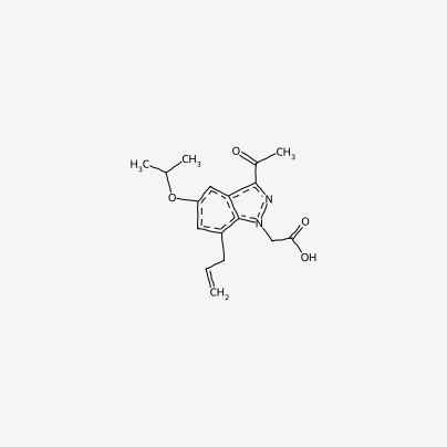 C=CCc1cc(OC(C)C)cc2c(C(C)=O)nn(CC(=O)O)c12